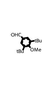 COc1c(C(C)(C)C)cc([C]=O)cc1C(C)(C)C